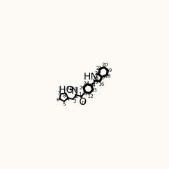 O=C(C(CC1CCCC1)=NO)c1ccc(-c2cc3ccccc3[nH]2)cc1